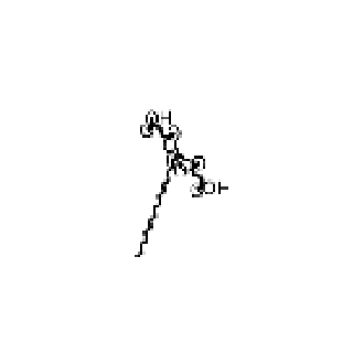 CCCCCCCCCCCCCCCC(=O)OC(COC(=O)/C=C/C(=O)O)COC(=O)/C=C/C(=O)O